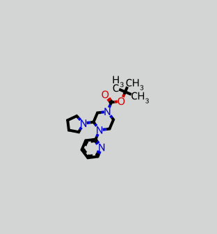 CC(C)(C)OC(=O)N1CCN(c2ccccn2)C(N2CCCC2)C1